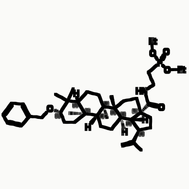 C=C(C)[C@@H]1CC[C@]2(C(=O)NCCP(=O)(OCC)OCC)CC[C@]3(C)[C@H](CC[C@@H]4[C@@]5(C)CC[C@H](OCc6ccccc6)C(C)(C)[C@@H]5CC[C@]43C)[C@@H]12